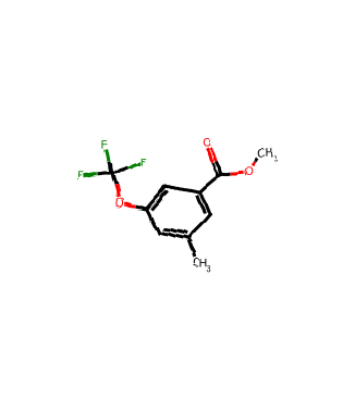 COC(=O)c1cc(C)cc(OC(F)(F)F)c1